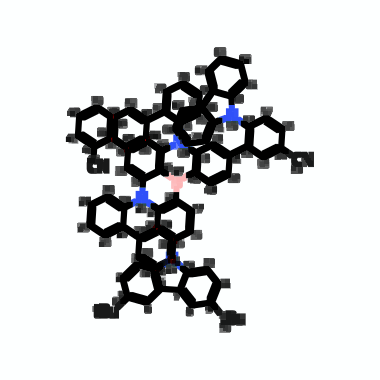 CC(C)(C)c1ccc2c(c1)c1cc(C(C)(C)C)ccc1n2-c1ccc2c(c1)N(c1ccccc1-c1ccccc1)c1cc(-c3ccccc3C#N)cc3c1B2c1ccc(-c2cc(C#N)ccc2-n2c4ccccc4c4ccccc42)cc1N3c1ccccc1-c1ccccc1